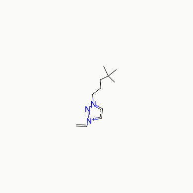 C=C[n+]1ccn(CCCC(C)(C)C)n1